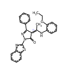 CCOc1ccccc1N/C(C)=C1\C(=O)N(c2nc3ccccc3s2)N=C1c1ccccc1